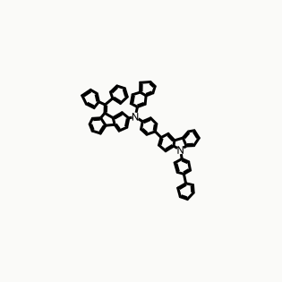 c1ccc(C(=C2c3ccccc3-c3ccc(N(c4ccc(-c5ccc6c(c5)c5ccccc5n6-c5ccc(-c6ccccc6)cc5)cc4)c4ccc5ccccc5c4)cc32)c2ccccc2)cc1